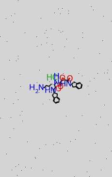 Cl.NCCCC[C@H](NC(=O)C1OC1C(=O)NC1Cc2ccccc2C1)C(=O)NC1Cc2ccccc2C1